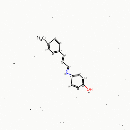 Cc1ccc(/C=C/C=N/c2ccc(O)cc2)cc1